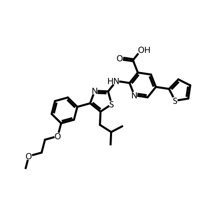 COCCOc1cccc(-c2nc(Nc3ncc(-c4cccs4)cc3C(=O)O)sc2CC(C)C)c1